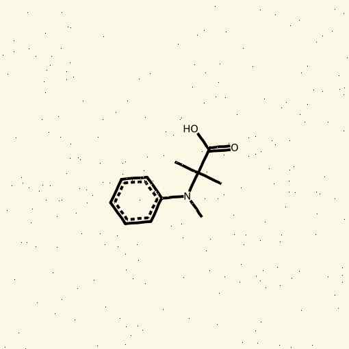 CN(c1ccccc1)C(C)(C)C(=O)O